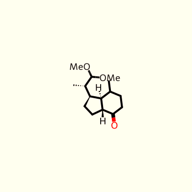 COC(OC)[C@@H](C)[C@@H]1CC[C@H]2C(=O)CCC(C)[C@H]12